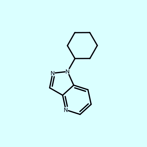 c1cnc2cnn(C3CCCCC3)c2c1